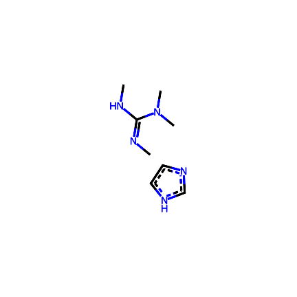 CN=C(NC)N(C)C.c1c[nH]cn1